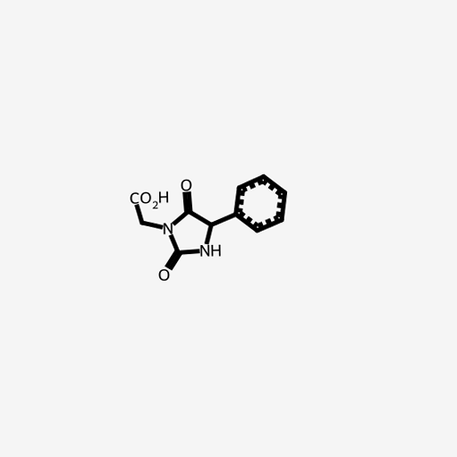 O=C(O)CN1C(=O)NC(c2ccccc2)C1=O